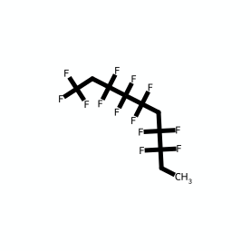 CCC(F)(F)C(F)(F)CC(F)(F)C(F)(F)C(F)(F)CC(F)(F)F